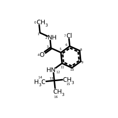 CCNC(=O)c1c(Cl)cccc1NC(C)(C)C